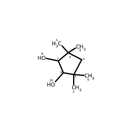 CC1(C)CC(C)(C)C(O)C1O